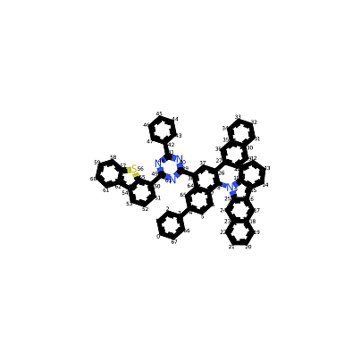 c1ccc(-c2ccc3c(-n4c5ccccc5c5cc6ccccc6cc54)c(-c4ccc5ccccc5c4)cc(-c4nc(-c5ccccc5)nc(-c5cccc6c5sc5ccccc56)n4)c3c2)cc1